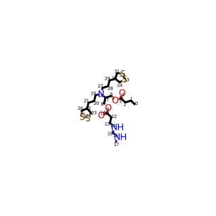 CCCC(=O)OCC(COC(=O)CCNCNC)N(CCCC1CSSC1)CCCC1CSSC1